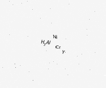 [AlH3].[Cr].[Ni].[Y]